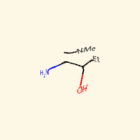 CCC(O)CN.CNC